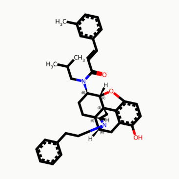 Cc1cccc(C=CC(=O)N(CC(C)C)[C@@H]2CC[C@H]3[C@H]4Cc5c(O)ccc6c5[C@@]3(CCN4CCc3ccccc3)[C@H]2O6)c1